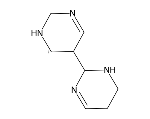 [C]1NCN=CC1C1N=CCCN1